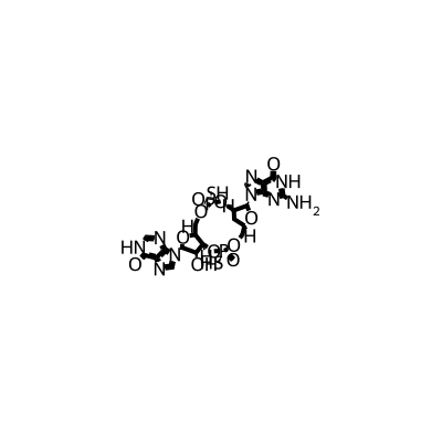 Nc1nc2c(ncn2[C@@H]2O[C@@H]3CO[P@@](=O)(S)O[C@H]4[C@@H](O)[C@H](n5cnc6c(=O)[nH]cnc65)O[C@@H]4CO[P@](=O)(S)O[C@@H]2C3)c(=O)[nH]1